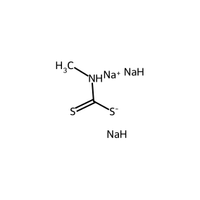 CNC(=S)[S-].[Na+].[NaH].[NaH]